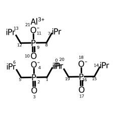 CC(C)CP(=O)([O-])CC(C)C.CC(C)CP(=O)([O-])CC(C)C.CC(C)CP(=O)([O-])CC(C)C.[Al+3]